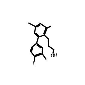 Cc1cc(C)c(CCCO)c(-c2ccc(F)c(C)c2)c1